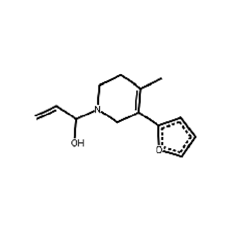 C=CC(O)N1CCC(C)=C(c2ccco2)C1